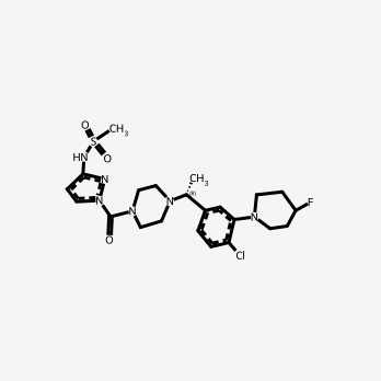 C[C@H](c1ccc(Cl)c(N2CCC(F)CC2)c1)N1CCN(C(=O)n2ccc(NS(C)(=O)=O)n2)CC1